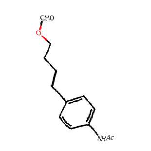 CC(=O)Nc1ccc(CCCCO[C]=O)cc1